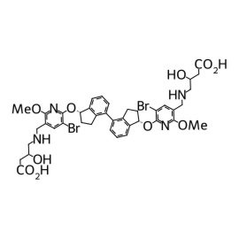 COc1nc(O[C@H]2CCc3c(-c4cccc5c4CC[C@@H]5Oc4nc(OC)c(CNCC(O)CC(=O)O)cc4Br)cccc32)c(Br)cc1CNCC(O)CC(=O)O